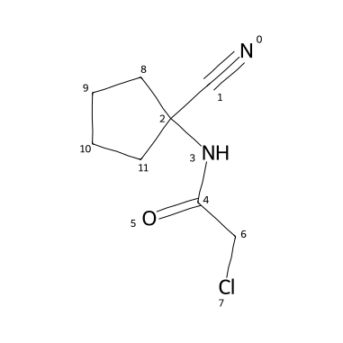 N#CC1(NC(=O)CCl)CCCC1